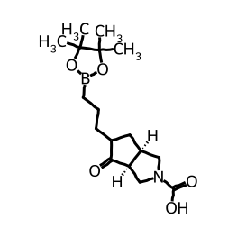 CC1(C)OB(CCCC2C[C@H]3CN(C(=O)O)C[C@H]3C2=O)OC1(C)C